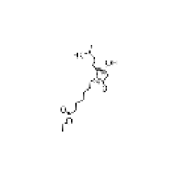 CCOC(=O)CCCCCC[C@@H]1C(=O)C[C@@H](O)[C@@H]1C=CC(C)O